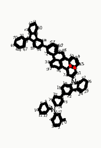 Cc1cccc(N(c2ccccc2)c2ccc(-c3ccc4c(c3)c3ccccc3n4-c3cccc(-c4cccc5c4C(c4ccccc4)Cc4ccc(-c6ccc7c(c6)-c6ccccc6C7c6ccccc6)cc4-5)c3)cc2)c1